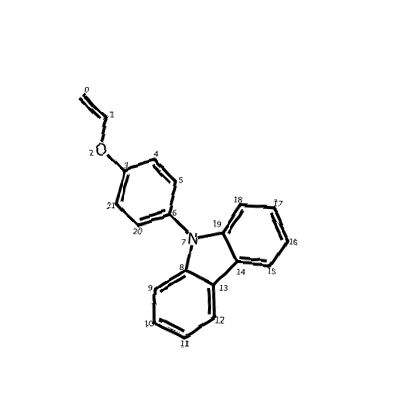 C=COc1ccc(-n2c3ccccc3c3ccccc32)cc1